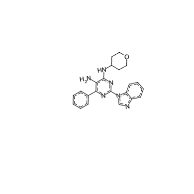 Nc1c(NC2CCOCC2)nc(-n2cnc3ccccc32)nc1-c1ccccc1